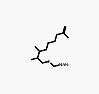 C=C(C)CCCCC(C)C(C)CPCNC